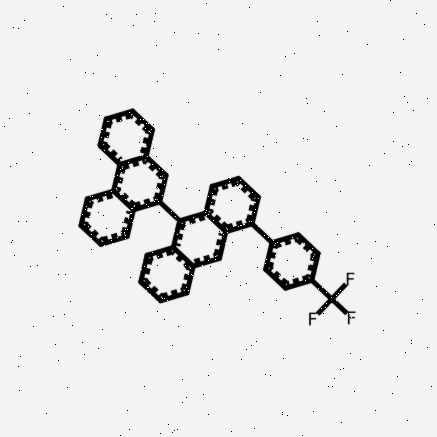 FC(F)(F)c1ccc(-c2cccc3c(-c4cc5ccccc5c5ccccc45)c4ccccc4cc23)cc1